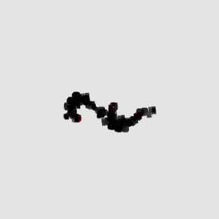 CN(CC1CC1c1cc(C(=O)Nc2cccc(-c3cccc(NC(=O)c4cc5c(cn4)CN(C4CCC(C)(C(=O)O)CC4)CC5)c3Cl)c2Cl)ncc1CN1CCCCC1)C(=O)CCCCN1CCc2cc(C(=O)Nc3cccc(-c4cccc(NC(=O)c5cc(C6CC6)c(CN6CCCCC6)cn5)c4Cl)c3Cl)ncc2C1